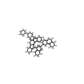 c1ccc(-c2ccc3c(c2)c2cc4c5ccccc5n(-c5nc(-c6ccc7ccc8ccccc8c7c6)nc6ccccc56)c4c4c5ccccc5n3c24)cc1